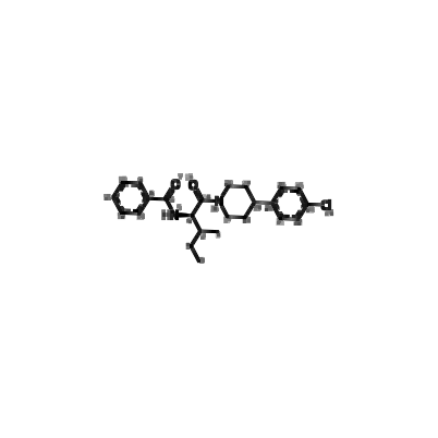 CCC(C)[C@@H](NC(=O)c1ccccc1)C(=O)N1CCC(c2ccc(Cl)cc2)CC1